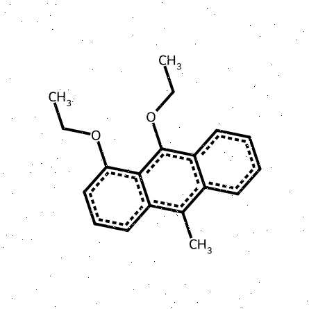 CCOc1cccc2c(C)c3ccccc3c(OCC)c12